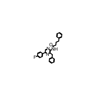 O=C(CCCc1ccccc1)Nc1ncc(-c2ccc(F)cc2)nc1Cc1ccccc1